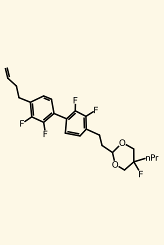 C=CCCc1ccc(-c2ccc(CCC3OCC(F)(CCC)CO3)c(F)c2F)c(F)c1F